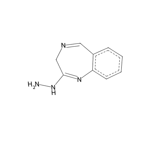 NNC1=Nc2ccccc2C=NC1